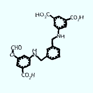 O=COc1cc(NCc2cccc(CNc3cc(C(=O)O)cc(C(=O)O)c3)c2)cc(C(=O)O)c1